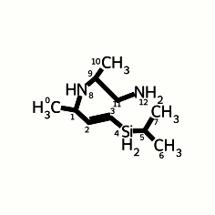 CC(C=C[SiH2]C(C)C)NC(C)CN